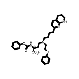 O=C(N[C@@H](CCN(CCCCc1ccc2c(n1)NCCC2)CCOc1ccccc1)C(=O)O)Oc1ccccc1